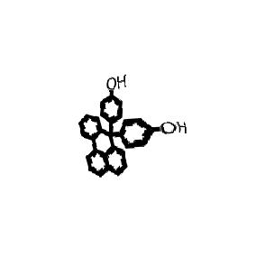 Oc1ccc(C2(c3ccc(O)cc3)c3ccccc3-c3cccc4cccc2c34)cc1